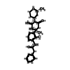 C[C@@H]1C[C@H](N2C(=N)N[C@](C)(c3cccc(NC(=O)Cc4ccccc4)c3Cl)CC2=O)CCO1